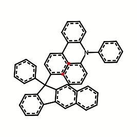 c1ccc(N(c2ccccc2)c2ccccc2-c2ccc(C3(c4ccccc4)c4ccccc4-c4cc5ccccc5cc43)cc2)cc1